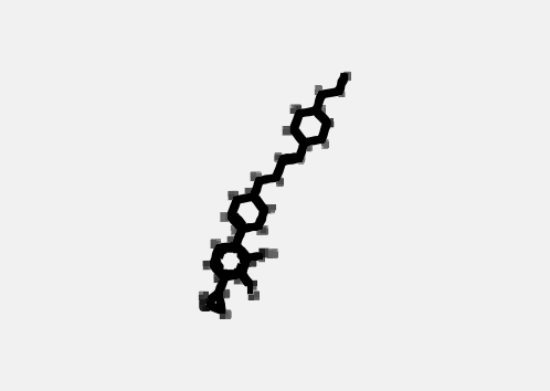 CCCC1CCC(/C=C/CCC2CC=C(c3ccc(C4CO4)c(F)c3F)CC2)CC1